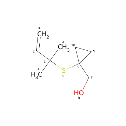 C=CC(C)(C)SC1(CO)CC1